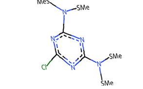 CSN(SC)c1nc(Cl)nc(N(SC)SC)n1